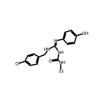 CCNC(=O)N/C(=N\c1ccc(O)cc1)NCc1ccc(Cl)cc1